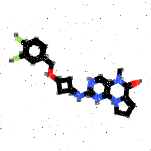 CN1C(=O)C2=CCCN2c2nc(N=C3CC(OCc4ccc(F)c(F)c4)C3)ncc21